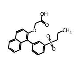 CCCS(=O)(=O)c1cccc(-c2c(OCC(=O)O)ccc3ccccc23)c1